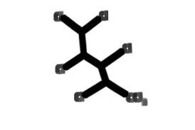 ClC(Cl)C(Cl)C(Cl)C(Cl)C(Cl)(Cl)Cl